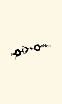 CCCCCCCCC[C@H]1CC[C@H](CC[C@H]2CO[C@H](c3ccc(F)c(F)c3)OC2)CC1